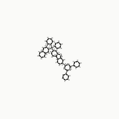 c1ccc(-c2nc(-c3ccccc3)nc(-c3ccc4c(c3)oc3cc(C5(c6ccccc6)c6ccccc6-c6cc7ccccc7cc65)ccc34)n2)cc1